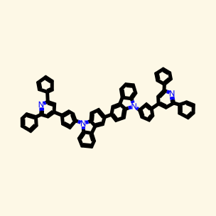 c1ccc(-c2cc(-c3ccc(-n4c5ccccc5c5cc(-c6ccc7c(c6)c6ccccc6n7-c6cccc(-c7cc(-c8ccccc8)nc(-c8ccccc8)c7)c6)ccc54)cc3)cc(-c3ccccc3)n2)cc1